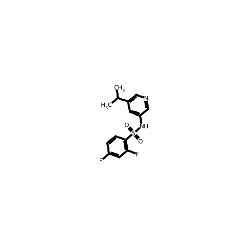 CC(C)c1cncc(NS(=O)(=O)c2ccc(F)cc2F)c1